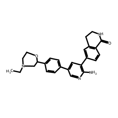 CCN1CCOC(c2ccc(-c3cnc(N)c(-c4ccc5c(c4)CCNC5=O)c3)cc2)C1